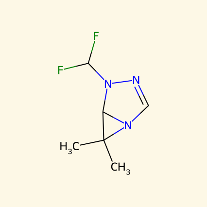 CC1(C)C2N(C(F)F)N=CN21